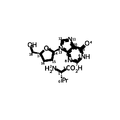 CC(C)[C@H](N)C(=O)O.O=c1[nH]cnc2c1ncn2[C@H]1CC[C@@H](CO)O1